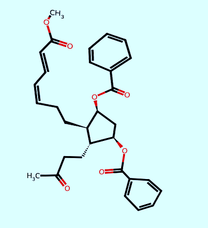 COC(=O)C=C/C=C\CC[C@@H]1[C@@H](CCC(C)=O)[C@H](OC(=O)c2ccccc2)C[C@@H]1OC(=O)c1ccccc1